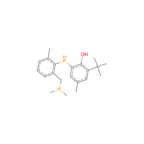 Cc1cc(Pc2c(C)cccc2CP(C)C)c(O)c(C(C)(C)C)c1